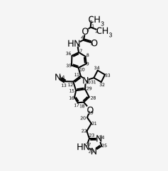 CC(C)OC(=O)Nc1ccc(-c2c(C#N)c3ccc(OCCCc4ncn[nH]4)cc3n2C2CCC2)cc1